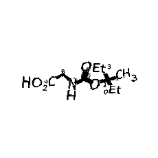 CCC(C)(CC)OC(=O)NCC(=O)O